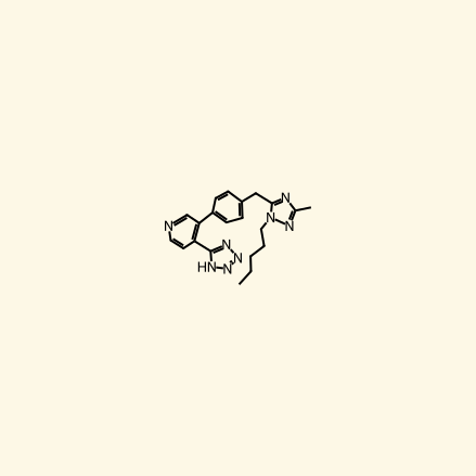 CCCCCn1nc(C)nc1Cc1ccc(-c2cnccc2-c2nnn[nH]2)cc1